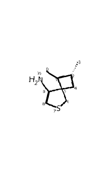 CC1[C@H](C)CC12CSCC2N